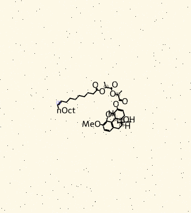 CCCCCCCC/C=C\CCCCCCCC(=O)O[C@@H](C)C(=O)O[C@@H](C)C(=O)OC1=CC[C@@]2(O)[C@H]3Cc4ccc(OC)c5c4[C@@]2(CCC3C)[C@H]1O5